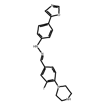 Ic1cc(C=NNc2ccc(-c3cnco3)cc2)ccc1N1CCNCC1